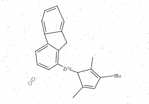 CC1=CC(C(C)(C)C)=C(C)[CH]1[Zr+2][c]1cccc2c1Cc1ccccc1-2.[Cl-].[Cl-]